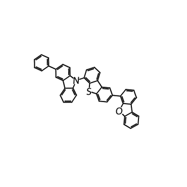 c1ccc(-c2ccc3c(c2)c2ccccc2n3-c2cccc3c2sc2ccc(-c4cccc5c4oc4ccccc45)cc23)cc1